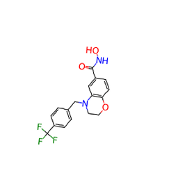 O=C(NO)c1ccc2c(c1)N(Cc1ccc(C(F)(F)F)cc1)CCO2